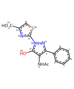 CC(=O)Nc1c(-c2ccccc2)nn(-c2nc(C(=O)O)cs2)c1O